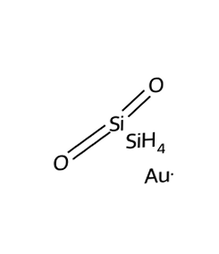 O=[Si]=O.[Au].[SiH4]